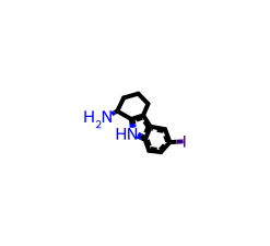 NC1CCCc2c1[nH]c1ccc(I)cc21